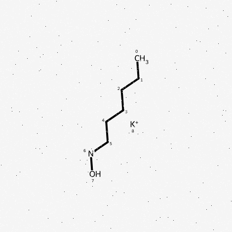 CCCCCC[N-]O.[K+]